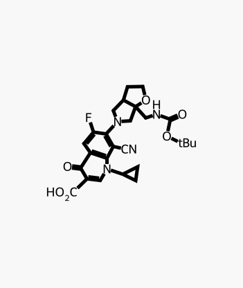 CC(C)(C)OC(=O)NCC12CN(c3c(F)cc4c(=O)c(C(=O)O)cn(C5CC5)c4c3C#N)CC1CCO2